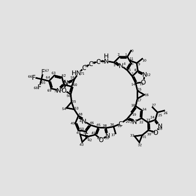 Cc1cc2nc(c1)-c1c(C(C)C)noc1C1CC1c1cc(nc(-c3c(C(C)C)noc3C3CC3)c1)CC(C)c1noc(C3CC3)c1-c1nc(ccc1F)C1CC1c1onc(c1-c1ccc(C(F)(F)F)cn1)NCCCN2